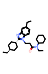 CCc1ccc2c(c1)nc([C@H]1CC[C@H](CC)CC1)n2CCC(=O)N(CC)C1CCCCC1